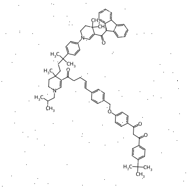 CC(C)CN1C=C(C(=O)CC/C=C/c2ccc(COc3ccc(C(=O)CC(=O)c4ccc(C(C)(C)C)cc4)cc3)cc2)C(C)(CCC(C)(C)c2ccc(N3C=C(C(=O)C4c5ccccc5-c5ccccc54)C(C)(C)CC3)cc2)CC1